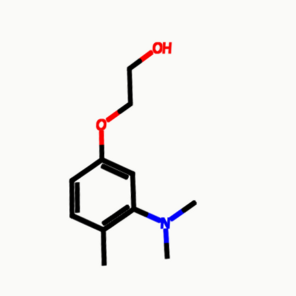 Cc1ccc(OCCO)cc1N(C)C